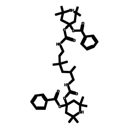 CC(CNC(=O)OC1(OC(=O)c2ccccc2)CC(C)(C)NC(C)(C)C1)CC(C)(C)CCNC(=O)OC1(OC(=O)c2ccccc2)CC(C)(C)NC(C)(C)C1